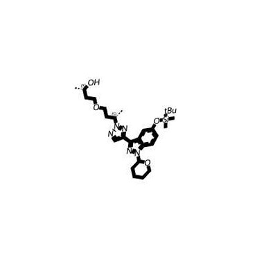 C[C@H](O)CCOCC[C@H](C)n1ncc(-c2nn(C3CCCCO3)c3ccc(O[Si](C)(C)C(C)(C)C)cc23)n1